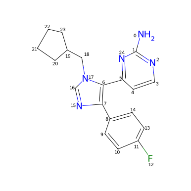 Nc1nccc(-c2c(-c3ccc(F)cc3)ncn2CC2CCCC2)n1